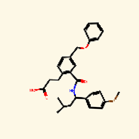 CSc1ccc(C(CC(C)C)NC(=O)c2cc(COc3ccccc3)ccc2CCC(=O)O)cc1